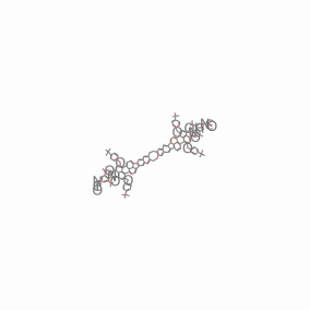 CC(C)c1cc(N=C=O)cc(C(C)C)c1N1C(=O)c2cc(Oc3ccc(C(C)(C)C)cc3)c3c4c(c(Oc5ccc(C(C)(C)C)cc5)cc(c24)C1=O)C1=CC=C2c4cc5cc6c(cc5cc4C4=CC=C3C1C42)CCc1cc2cc3c(cc2cc1CC6)-c1ccc2c4c(Oc5ccc(C(C)(C)C)cc5)cc5c6c(cc(Oc7ccc(C(C)(C)C)cc7)c(c7ccc-3c1c72)c64)C(=O)N(c1c(C(C)C)cc(N=C=O)cc1C(C)C)C5O